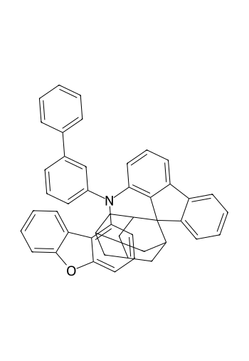 c1ccc(-c2cccc(N(c3cccc4c3C3(c5ccccc5-4)C4CC5CC(C4)CC3C5)c3cccc4oc5ccccc5c34)c2)cc1